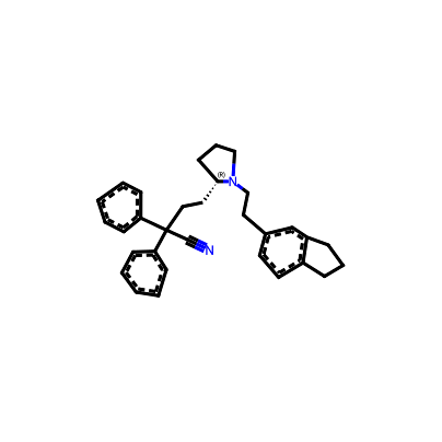 N#CC(CC[C@@H]1CCCN1CCc1ccc2c(c1)CCC2)(c1ccccc1)c1ccccc1